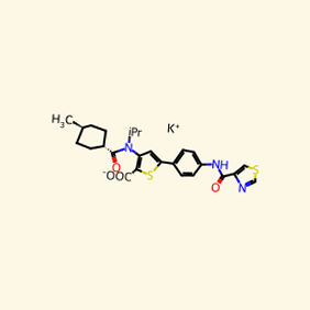 CC(C)N(c1cc(-c2ccc(NC(=O)c3cscn3)cc2)sc1C(=O)[O-])C(=O)[C@H]1CC[C@H](C)CC1.[K+]